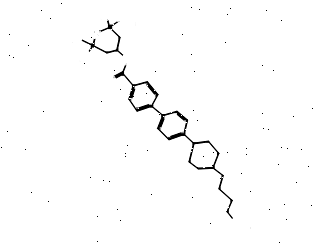 CCCCCC1CCC(c2ccc(-c3ccc(C(=O)OC4CC(C)(C)NC(C)(C)C4)cc3)cc2)CC1